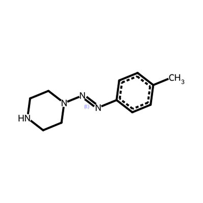 Cc1ccc(/N=N/N2CCNCC2)cc1